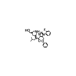 CC(C)CN(C(=O)c1nnn(-c2ccccc2F)c1COc1ccccc1)[C@@H]1CNC[C@H](CO)C1